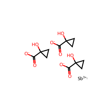 O=C([O-])C1(O)CC1.O=C([O-])C1(O)CC1.O=C([O-])C1(O)CC1.[Sb+3]